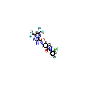 O=C(NC1CCC2(CC1)CCN(c1ccc(F)cc1Cl)C2=O)c1cnn2c(C(F)F)cc(C(F)F)nc12